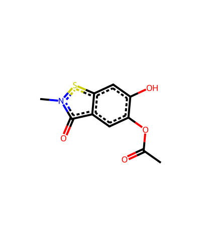 CC(=O)Oc1cc2c(=O)n(C)sc2cc1O